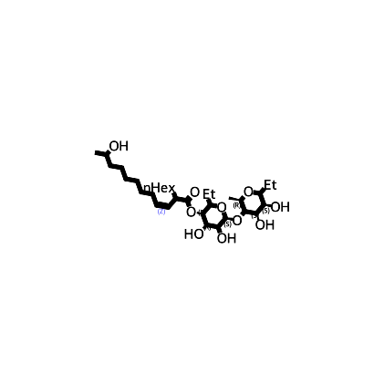 CCCCCCC(/C=C\CCCCCCC(C)O)C(=O)O[C@@H]1C(CC)O[C@@H](OC2[C@@H](O)[C@H](O)C(CC)O[C@@H]2C)C(O)[C@H]1O